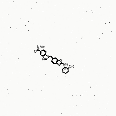 CNC(=O)c1ccc2c(c1)ncn2Cc1ccc2nc(N[C@@H]3CCCC[C@H]3O)sc2c1